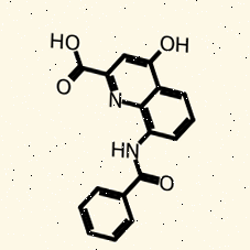 O=C(Nc1cccc2c(O)cc(C(=O)O)nc12)c1ccccc1